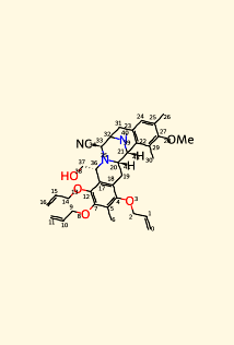 C=CCOc1c(C)c(OCC=C)c(OCC=C)c2c1C[C@H]1[C@H]3c4c(cc(C)c(OC)c4C)CC([C@H](C#N)N1[C@H]2CO)N3C